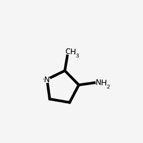 CC1[N]CCC1N